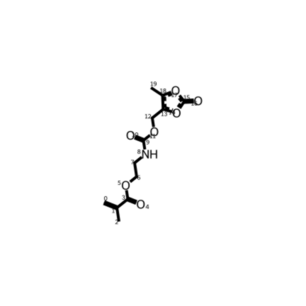 C=C(C)C(=O)OCCNC(=O)OCc1oc(=O)oc1C